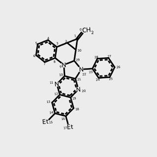 C=C1C2c3ccccc3N3c4nc5cc(CC)c(CC)cc5nc4N(c4ccccc4)C3C12